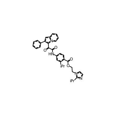 CC(C)c1cc(NC(=O)C(=O)c2c(-c3ccccc3)cc3ccccn23)ccc1C(=O)OCCn1ccnc1C(C)C